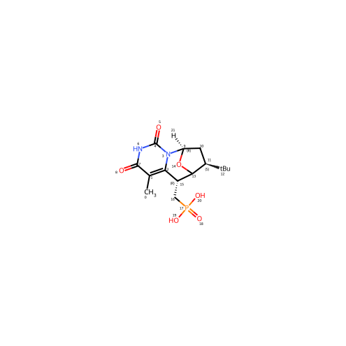 Cc1c2n(c(=O)[nH]c1=O)[C@H]1C[C@@H](C(C)(C)C)C(O1)[C@@H]2CP(=O)(O)O